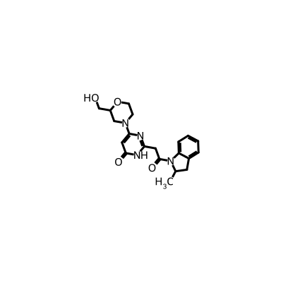 CC1Cc2ccccc2N1C(=O)Cc1nc(N2CCOC(CO)C2)cc(=O)[nH]1